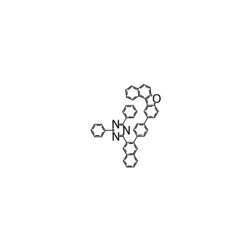 c1ccc(-c2nc(-c3ccccc3)nc(-c3cc4ccccc4cc3-c3ccc(-c4ccc5oc6ccc7ccccc7c6c5c4)cc3)n2)cc1